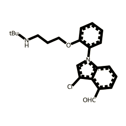 CC(C)(C)NCCCOc1ccccc1-n1cc(Cl)c2c(C=O)cccc21